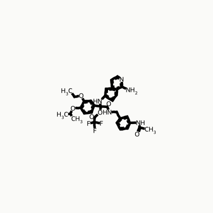 CCOc1cc(C(Nc2ccc3c(N)nccc3c2)(OC(=O)C(F)(F)F)C(=O)NCc2cccc(NC(C)=O)c2)ccc1OC(C)C